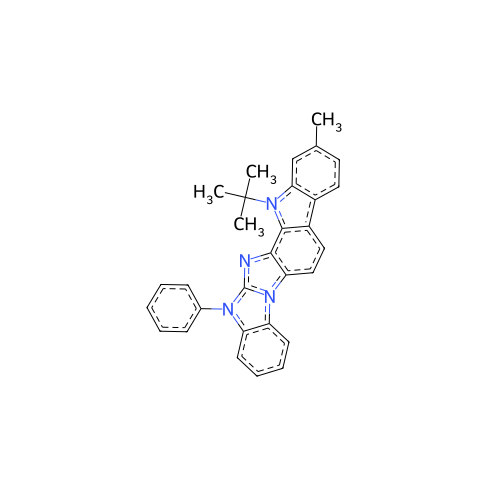 Cc1ccc2c3ccc4c(nc5n(-c6ccccc6)c6ccccc6n45)c3n(C(C)(C)C)c2c1